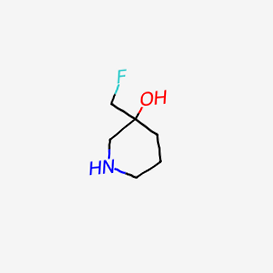 OC1(CF)CCCNC1